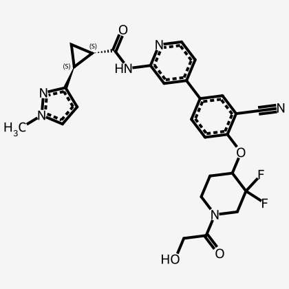 Cn1ccc([C@H]2C[C@@H]2C(=O)Nc2cc(-c3ccc(OC4CCN(C(=O)CO)CC4(F)F)c(C#N)c3)ccn2)n1